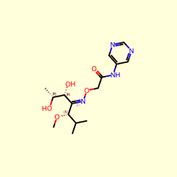 CO[C@H](/C(=N/OCC(=O)Nc1cncnc1)[C@@H](O)[C@@H](C)O)C(C)C